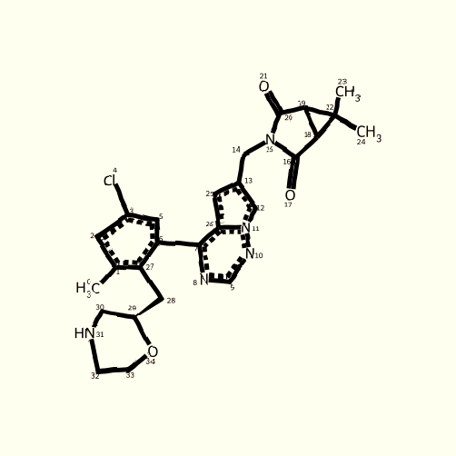 Cc1cc(Cl)cc(-c2ncnn3cc(CN4C(=O)C5C(C4=O)C5(C)C)cc23)c1C[C@@H]1CNCCO1